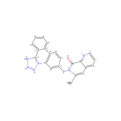 CCCCc1cc2cccnc2c(=O)n1Cc1ccc(-c2ccccc2-c2nnn[nH]2)cc1